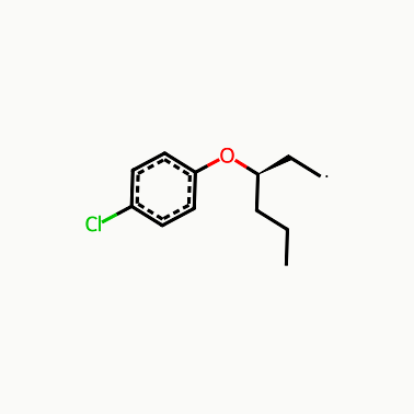 [CH2]C[C@@H](CCC)Oc1ccc(Cl)cc1